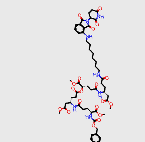 COC(=O)C[C@H](CCC(=O)NCCCCCCCCNc1cccc2c1C(=O)N(C1CCC(=O)NC1=O)C2=O)NC(=O)CC[C@H](OC(=O)CC[C@@H](CC(=O)OC)NC(=O)CC[C@H](NC(=O)OCc1ccccc1)C(=O)OC)C(=O)OC